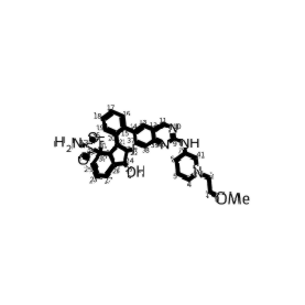 COCCN1CCCC(Nc2ncc3cc(-c4ccccc4C4C(F)C(O)C5=CC=CC(F)(S(N)(=O)=O)C54)ccc3n2)C1